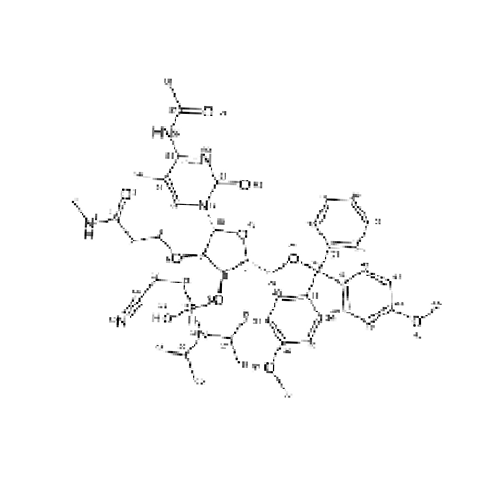 CNC(=O)CCO[C@@H]1[C@H](O[PH](O)(CCC#N)N(C(C)C)C(C)C)[C@@H](COC(c2ccccc2)(c2ccc(OC)cc2)c2ccc(OC)cc2)O[C@H]1n1cc(C)c(NC(C)=O)nc1=O